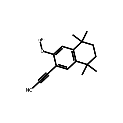 CCCOc1cc2c(cc1C#CC#N)C(C)(C)CCC2(C)C